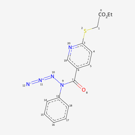 CCOC(=O)CSc1ccc(C(=O)N(N=[N+]=[N-])c2ccccc2)cn1